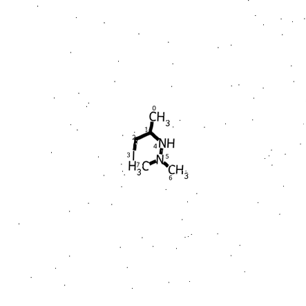 CC(CI)NN(C)C